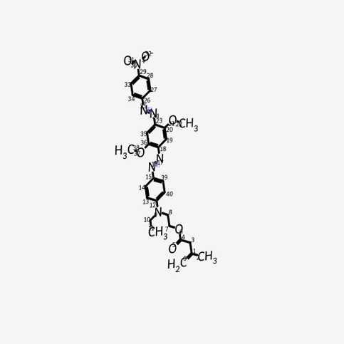 C=C(C)CC(=O)OCCN(CC)c1ccc(/N=N/c2cc(OC)c(/N=N/c3ccc([N+](=O)[O-])cc3)cc2OC)cc1